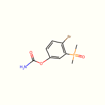 CP(C)(=O)c1cc(OC(N)=O)ccc1Br